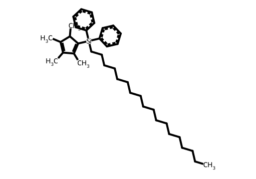 CCCCCCCCCCCCCCCCCC[Si](C1=C(C)C(C)=C(C)C1C)(c1ccccc1)c1ccccc1